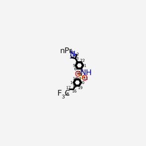 CCCN1CC(c2ccc(NS(=O)(=O)c3ccc(CCC(F)(F)F)cc3)cc2)C1